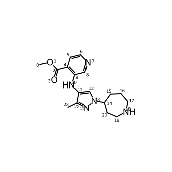 COC(=O)c1ccncc1Nc1cn(C2CCCNCC2)nc1C